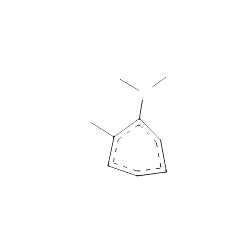 C[S+]([O-])c1cc[c]cc1F